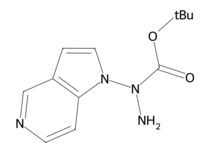 CC(C)(C)OC(=O)N(N)n1ccc2cnccc21